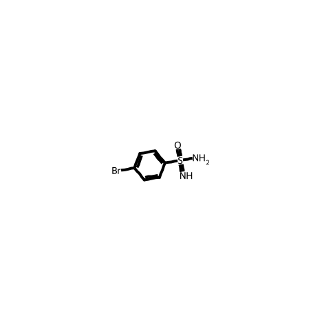 N=S(N)(=O)c1ccc(Br)cc1